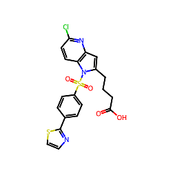 O=C(O)CCCc1cc2nc(Cl)ccc2n1S(=O)(=O)c1ccc(-c2nccs2)cc1